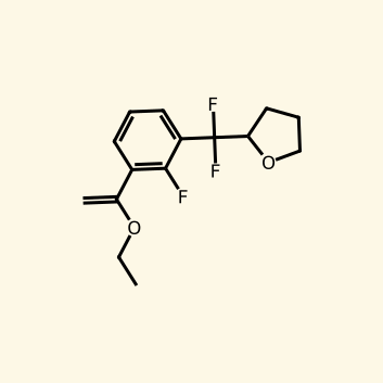 C=C(OCC)c1cccc(C(F)(F)C2CCCO2)c1F